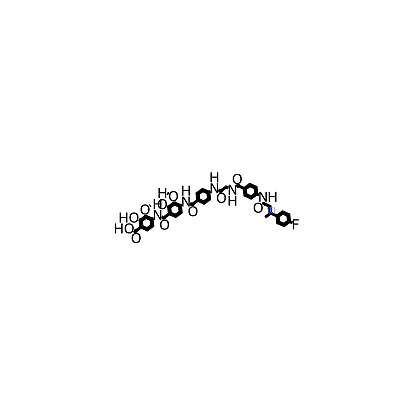 COc1c(NC(=O)c2ccc(NC(=O)c3ccc(NC(=O)CNC(=O)c4ccc(NC(=O)/C=C(\C)c5ccc(F)cc5)cc4)cc3)c(OC)c2O)ccc(C(=O)O)c1O